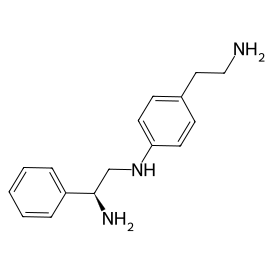 NCCc1ccc(NC[C@@H](N)c2ccccc2)cc1